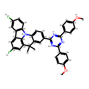 COc1ccc(-c2nc(-c3ccc(OC)cc3)nc(-c3ccc4c(c3)C(C)(C)c3cc(F)cc5c6cc(F)ccc6n-4c35)n2)cc1